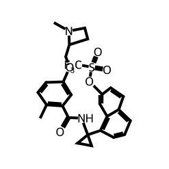 Cc1ccc(OCC2CCN2C)cc1C(=O)NC1(c2cccc3ccc(OS(=O)(=O)C(F)(F)F)cc23)CC1